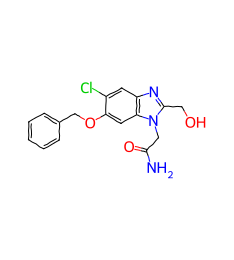 NC(=O)Cn1c(CO)nc2cc(Cl)c(OCc3ccccc3)cc21